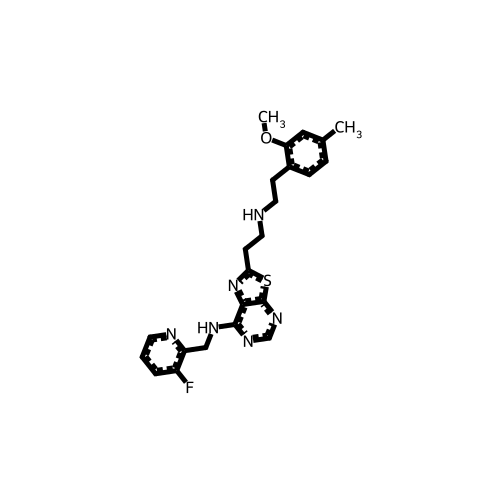 COc1cc(C)ccc1CCNCCc1nc2c(NCc3ncccc3F)ncnc2s1